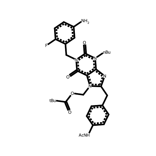 CCCCn1c(=O)n(Cc2cc(N)ccc2F)c(=O)c2c1nc(Cc1ccc(NC(C)=O)cc1)n2COC(=O)C(C)(C)C